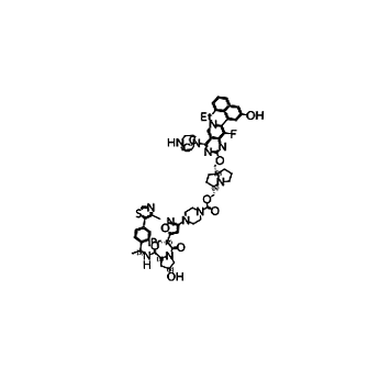 CCc1cccc2cc(O)cc(-c3ncc4c(N5CC6CCCC5CN6)nc(OC[C@]56CCCN5[C@H](COC(=O)N5CCN(c7cc([C@H](C(=O)N8C[C@H](O)C[C@H]8C(=O)N[C@@H](C)c8ccc(-c9scnc9C)cc8)C(C)C)on7)CC5)CC6)nc4c3F)c12